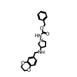 O=C(NN1CCC(NCc2ccc3c(c2)OCCO3)C1)OCc1ccccc1